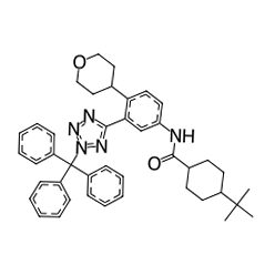 CC(C)(C)C1CCC(C(=O)Nc2ccc(C3CCOCC3)c(-c3nnn(C(c4ccccc4)(c4ccccc4)c4ccccc4)n3)c2)CC1